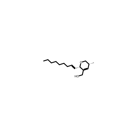 CCCCCCC/C=C/[C@@H]1OC[C@H](C)C=C1CO